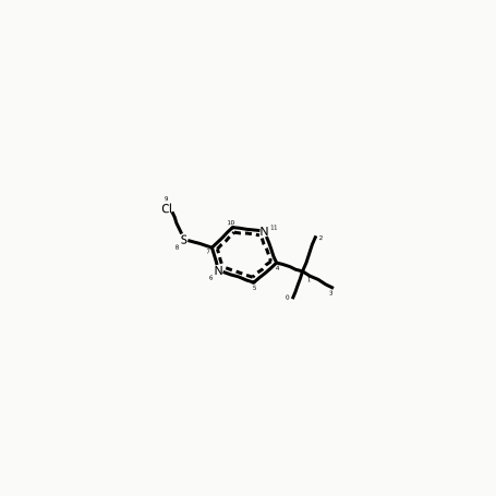 CC(C)(C)c1cnc(SCl)cn1